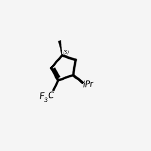 CC(C)C1C[C@H](C)C=C1C(F)(F)F